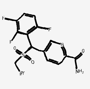 CC(C)CS(=O)(=O)C(c1ccc(C(N)=O)nc1)c1c(F)ccc(F)c1F